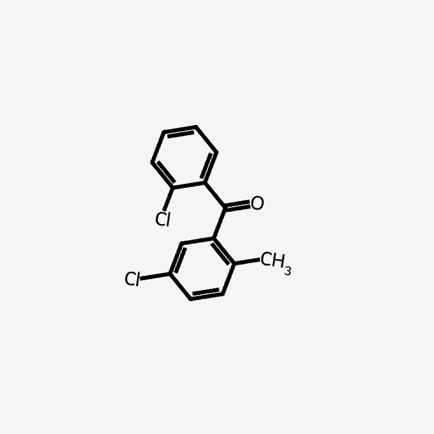 Cc1ccc(Cl)cc1C(=O)c1ccccc1Cl